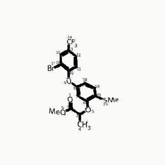 COC(=O)C(C)Oc1cc(Oc2ccc(C(F)(F)F)cc2Br)ccc1SC